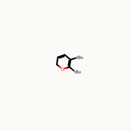 CC(C)(C)C1=C(C(C)(C)C)OCC=C1